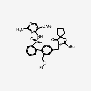 CCCCC1=NC2(CCCC2)C(=O)N1Cc1ccc(-c2ccccc2S(=O)(=O)Nc2nc(C)ncc2OC)c(COCC)c1